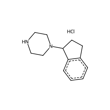 Cl.c1ccc2c(c1)CCC2N1CCNCC1